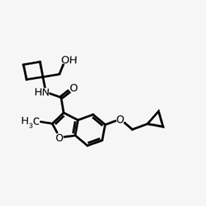 Cc1oc2ccc(OCC3CC3)cc2c1C(=O)NC1(CO)CCC1